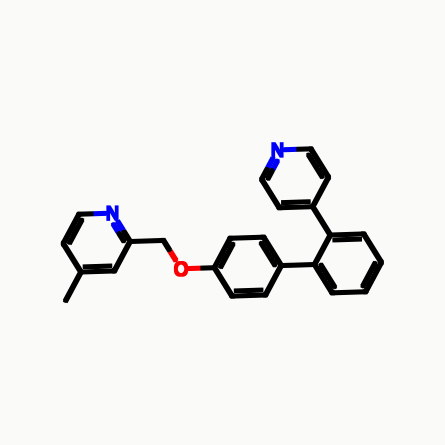 Cc1ccnc(COc2ccc(-c3ccccc3-c3ccncc3)cc2)c1